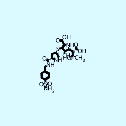 C[C@@H](O)[C@@H](C(=O)O)[C@@H]1NC(C(=O)O)=C(S[C@@H]2CN[C@H](C(=O)NCc3ccc(S(N)(=O)=O)cc3)C2)[C@@H]1C